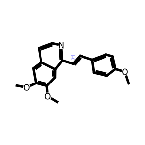 COc1ccc(/C=C/c2nccc3cc(OC)c(OC)cc23)cc1